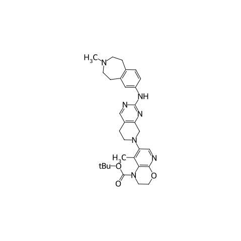 Cc1c(N2CCc3cnc(Nc4ccc5c(c4)CCN(C)CC5)nc3C2)cnc2c1N(C(=O)OC(C)(C)C)CCO2